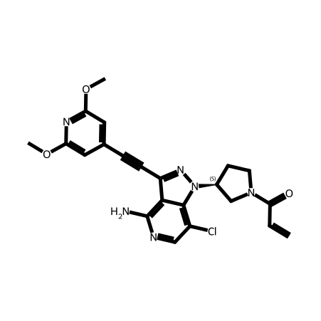 C=CC(=O)N1CC[C@H](n2nc(C#Cc3cc(OC)nc(OC)c3)c3c(N)ncc(Cl)c32)C1